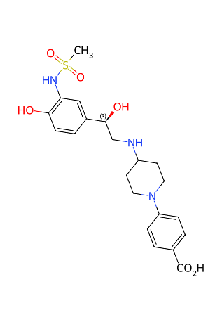 CS(=O)(=O)Nc1cc([C@@H](O)CNC2CCN(c3ccc(C(=O)O)cc3)CC2)ccc1O